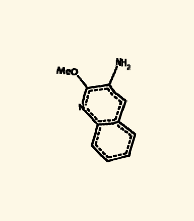 COc1nc2ccccc2cc1N